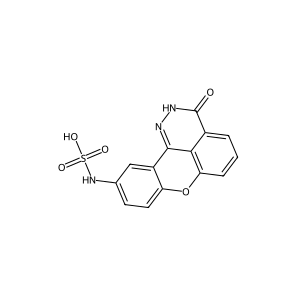 O=c1[nH]nc2c3c(cccc13)Oc1ccc(NS(=O)(=O)O)cc1-2